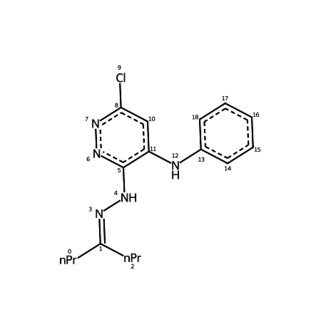 CCCC(CCC)=NNc1nnc(Cl)cc1Nc1ccccc1